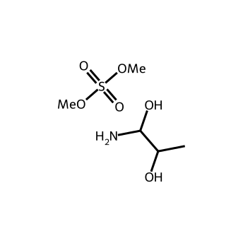 CC(O)C(N)O.COS(=O)(=O)OC